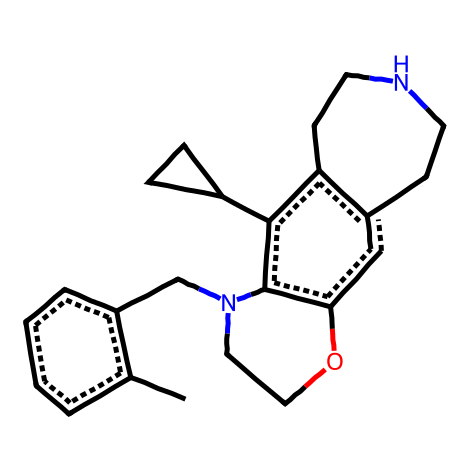 Cc1ccccc1CN1CCOc2cc3c(c(C4CC4)c21)CCNCC3